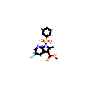 COC(=O)c1c(C)n(S(=O)(=O)c2ccccc2)c2ncc(F)cc12